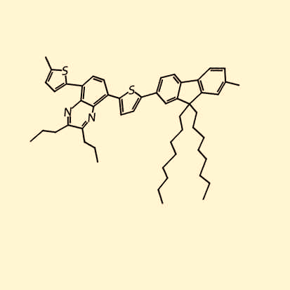 CCCCCCCCC1(CCCCCCCC)c2cc(C)ccc2-c2ccc(-c3ccc(-c4ccc(-c5ccc(C)s5)c5nc(CCC)c(CCC)nc45)s3)cc21